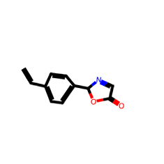 C=Cc1ccc(C2N=CC(=O)O2)cc1